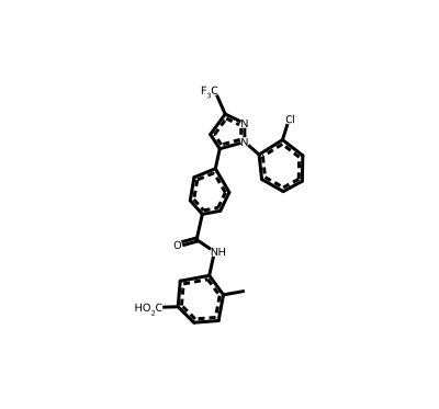 Cc1ccc(C(=O)O)cc1NC(=O)c1ccc(-c2cc(C(F)(F)F)nn2-c2ccccc2Cl)cc1